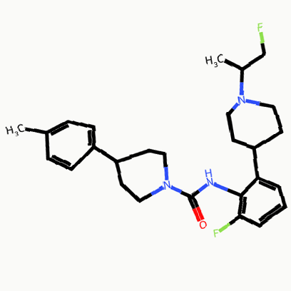 Cc1ccc(C2CCN(C(=O)Nc3c(F)cccc3C3CCN(C(C)CF)CC3)CC2)cc1